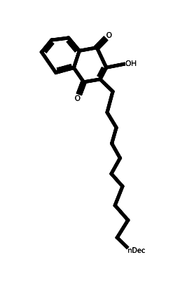 CCCCCCCCCCCCCCCCCCCCC1=C(O)C(=O)c2ccccc2C1=O